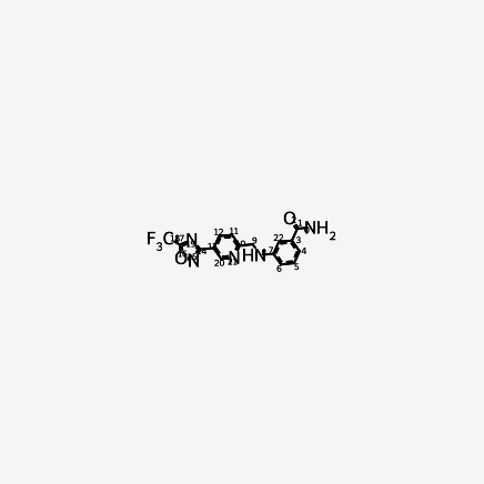 NC(=O)c1cccc(NCc2ccc(-c3noc(C(F)(F)F)n3)cn2)c1